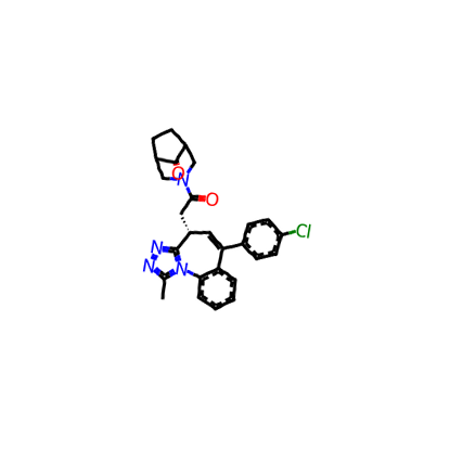 Cc1nnc2n1-c1ccccc1C(c1ccc(Cl)cc1)=C[C@H]2CC(=O)N1CC2CCC(C1)C2=O